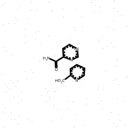 NC(=O)c1ccncn1.O=C(O)c1ccccn1